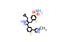 Cn1cc(-c2cc(-c3n[nH]c(CC4CC4)c3Cc3ccc(S(N)(=O)=O)cc3F)ccc2F)cn1